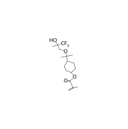 C=C(C)C(=O)OC1CCC(C(C)(C)OCC(C)(O)C(F)(F)F)CC1